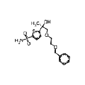 C[C@](O)(COCCOCc1ccccc1)c1ccc(S(N)(=O)=O)s1